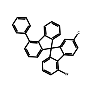 Clc1ccc2c(c1)C1(c3ccccc3-c3c(-c4ccccc4)cccc31)c1cccc(Br)c1-2